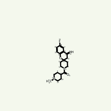 CN1CCC(C(=O)N2CCC3(CC2)CC(=N)c2cc(F)ccc2O3)CC1